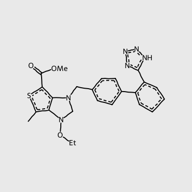 CCON1CN(Cc2ccc(-c3ccccc3-c3nnn[nH]3)cc2)c2c(C(=O)OC)sc(C)c21